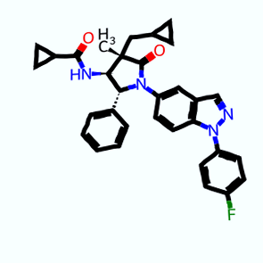 C[C@@]1(CC2CC2)C(=O)N(c2ccc3c(cnn3-c3ccc(F)cc3)c2)[C@H](c2ccccc2)[C@H]1NC(=O)C1CC1